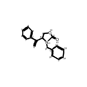 C=C(c1ccccc1)C1COC(=O)N1Cc1ccccc1